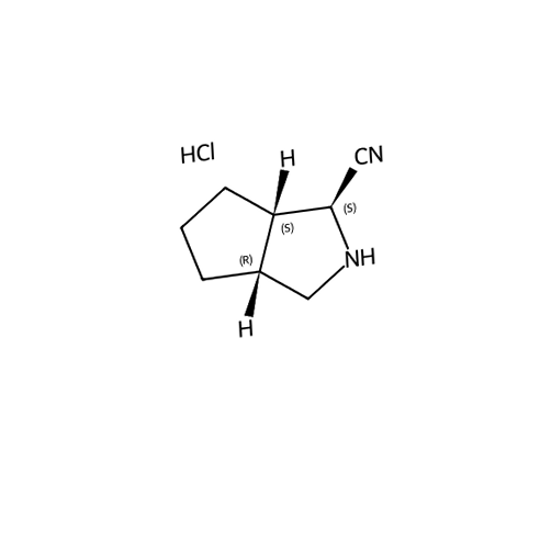 Cl.N#C[C@H]1NC[C@@H]2CCC[C@@H]21